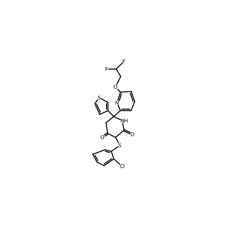 O=C1CC(c2ccsc2)(c2cccc(OCC(F)F)n2)NC(=O)C1Sc1ccccc1Cl